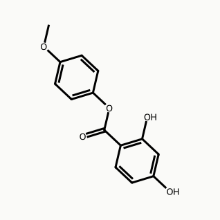 COc1ccc(OC(=O)c2ccc(O)cc2O)cc1